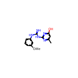 COc1cccc(NC(=N)Nc2nc(C)cc(O)n2)c1